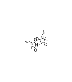 C=CCN1C(=O)N(CN2C(=O)N(CC=C)C(C)(C)C2=O)C(=O)C1(C)C